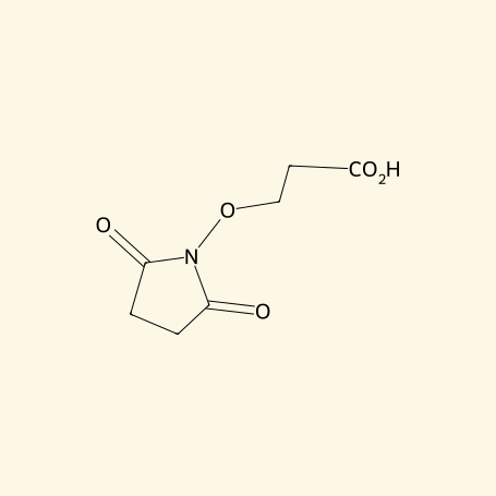 O=C(O)CCON1C(=O)CCC1=O